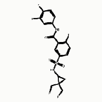 O=C(Nc1ccc(F)c(F)c1)c1cc(S(=O)(=O)NC2CC2(CF)CF)ccc1F